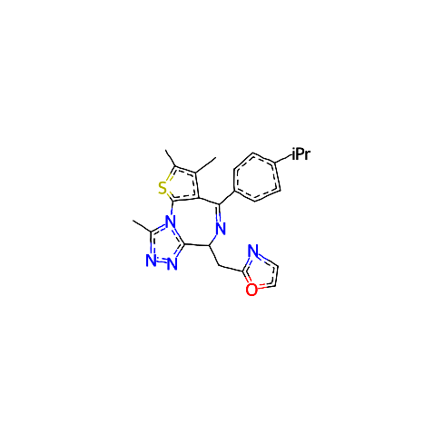 Cc1sc2c(c1C)C(c1ccc(C(C)C)cc1)=NC(Cc1ncco1)c1nnc(C)n1-2